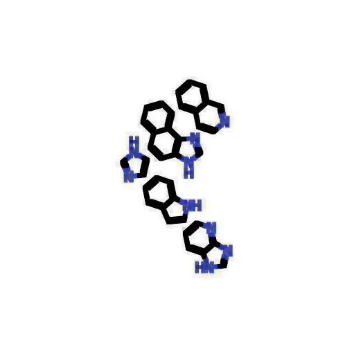 c1c[nH]cn1.c1ccc2[nH]ccc2c1.c1ccc2c(c1)ccc1[nH]cnc12.c1ccc2cnccc2c1.c1cnc2nc[nH]c2c1